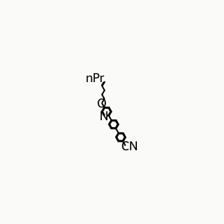 CCCC=CCCCOc1ccc(-c2ccc(-c3ccc(C#N)cc3)cc2)nc1